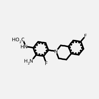 Nc1c(NC(=O)O)ccc(N2CCc3ccc(F)cc3C2)c1F